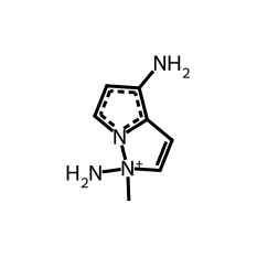 C[N+]1(N)C=Cc2c(N)ccn21